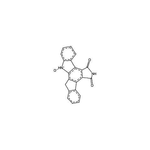 O=C1NC(=O)c2c1c1c(c3c2-c2ccccc2[NH+]3[O-])Cc2ccccc2-1